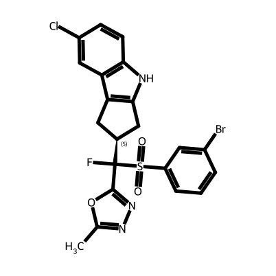 Cc1nnc(C(F)([C@@H]2Cc3[nH]c4ccc(Cl)cc4c3C2)S(=O)(=O)c2cccc(Br)c2)o1